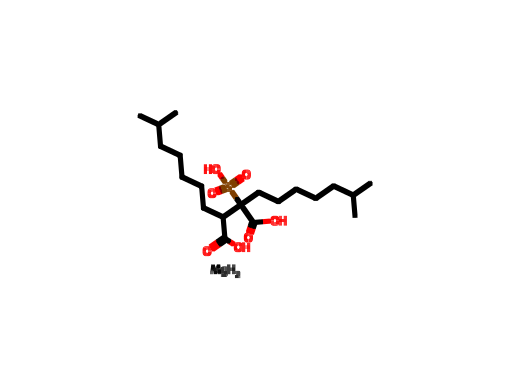 CC(C)CCCCCC(C(=O)O)C(CCCCCC(C)C)(C(=O)O)S(=O)(=O)O.[MgH2]